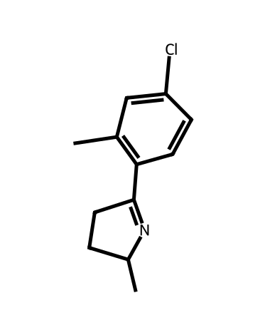 Cc1cc(Cl)ccc1C1=NC(C)CC1